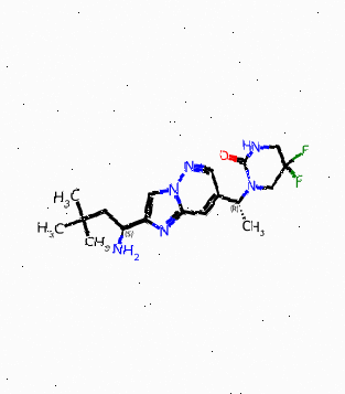 C[C@H](c1cnn2cc([C@@H](N)CC(C)(C)C)nc2c1)N1CC(F)(F)CNC1=O